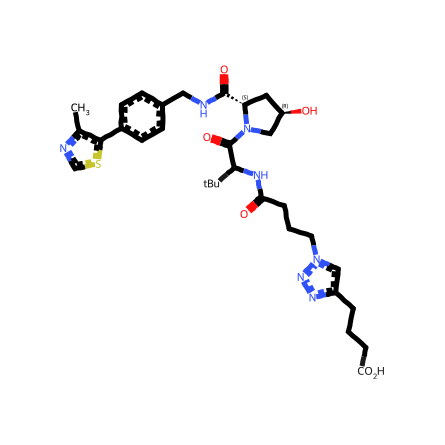 Cc1ncsc1-c1ccc(CNC(=O)[C@@H]2C[C@@H](O)CN2C(=O)C(NC(=O)CCCn2cc(CCCC(=O)O)nn2)C(C)(C)C)cc1